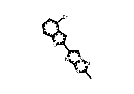 Cc1nn2cc(-c3cc4c(Br)cccc4o3)nc2s1